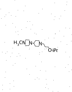 CC(C)OCCCN1CCC(N2CCN(C)CC2)CC1